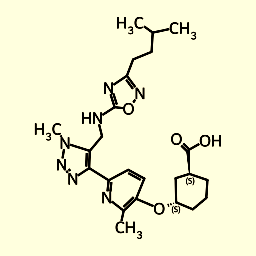 Cc1nc(-c2nnn(C)c2CNc2nc(CCC(C)C)no2)ccc1O[C@H]1CCC[C@H](C(=O)O)C1